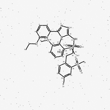 CCOc1cccc(-c2nnc(NS(=O)(=O)[C@H](C)[C@@H](O)c3ccc(F)cc3S(C)(=O)=O)n2-c2c(OC)cccc2OC)n1